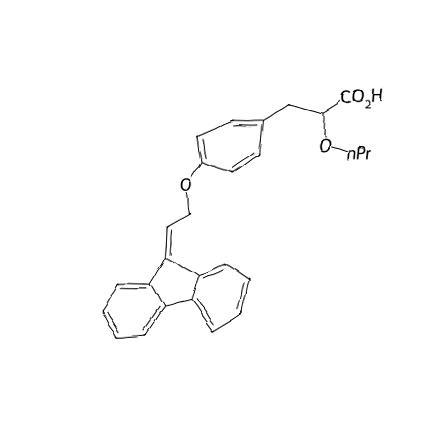 CCCOC(Cc1ccc(OCC=C2c3ccccc3-c3ccccc32)cc1)C(=O)O